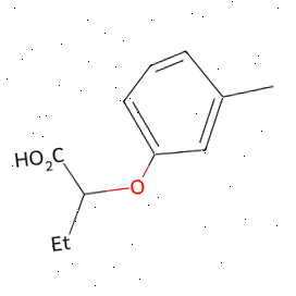 CCC(Oc1cccc(C)c1)C(=O)O